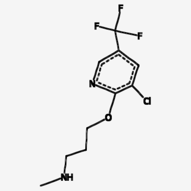 CNCCCOc1ncc(C(F)(F)F)cc1Cl